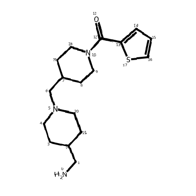 NCC1CCN(CC2CCN(C(=O)c3cccs3)CC2)CC1